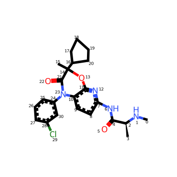 CN[C@@H](C)C(=O)Nc1ccc2c(n1)OC(C)(C1CCCC1)C(=O)N2c1cccc(Cl)c1